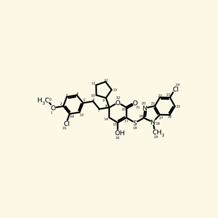 COc1ccc(CCC2(C3CCCC3)CC(O)=C(Sc3nc4cc(Cl)ccc4n3C)C(=O)O2)cc1Cl